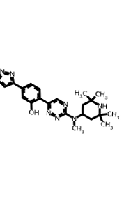 CN(c1ncc(-c2ccc(-c3cc[nH]n3)cc2O)nn1)C1CC(C)(C)NC(C)(C)C1